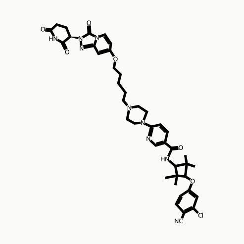 CC1(C)C(NC(=O)c2ccc(N3CCN(CCCCCOc4ccn5c(=O)n([C@@H]6CCC(=O)NC6=O)nc5c4)CC3)nc2)C(C)(C)C1Oc1ccc(C#N)c(Cl)c1